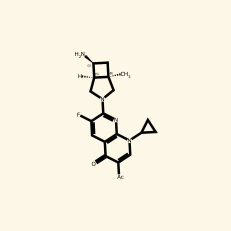 CC(=O)c1cn(C2CC2)c2nc(N3C[C@H]4[C@@H](N)C[C@@]4(C)C3)c(F)cc2c1=O